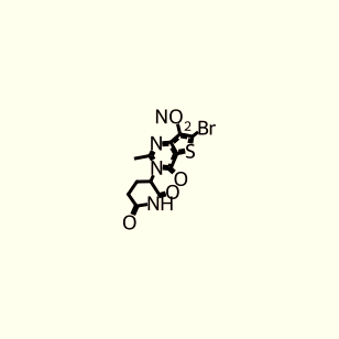 Cc1nc2c([N+](=O)[O-])c(Br)sc2c(=O)n1C1CCC(=O)NC1=O